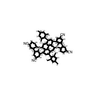 Cc1cc(C)c(-c2cc3c4c(cc5c(-c6c(C)cc(C)cc6C)cc6c7c(cc2c4c57)B2c4ccc(C#N)cc4-c4cc(C#N)cc-6c42)B2c4ccc(C#N)cc4-c4cc(C#N)cc-3c42)c(C)c1